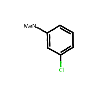 C[N]c1cccc(Cl)c1